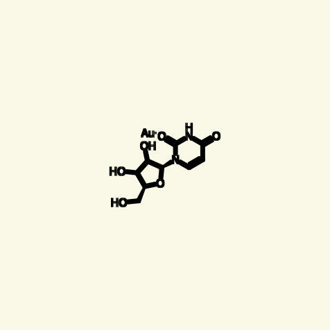 O=c1ccn([C@H]2O[C@@H](CO)C(O)C2O)c(=O)[nH]1.[Au]